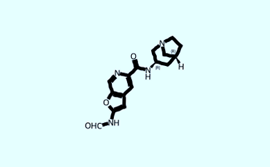 O=CNc1cc2cc(C(=O)N[C@@H]3C[C@H]4CCN(C4)C3)ncc2o1